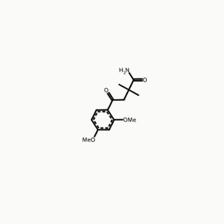 COc1ccc(C(=O)[CH]C(C)(C)C(N)=O)c(OC)c1